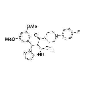 COc1cc(OC)cc(C2C(C(=O)N3CCN(c4ccc(F)cc4)CC3)=C(C)Nc3ccnn32)c1